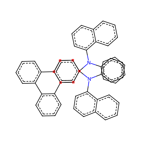 C1=CC(N(c2ccccc2)c2cccc3ccccc23)(N(c2ccccc2)c2cccc3ccccc23)CC=C1c1ccccc1-c1ccccc1-c1ccccc1